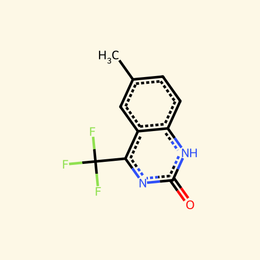 Cc1ccc2[nH]c(=O)nc(C(F)(F)F)c2c1